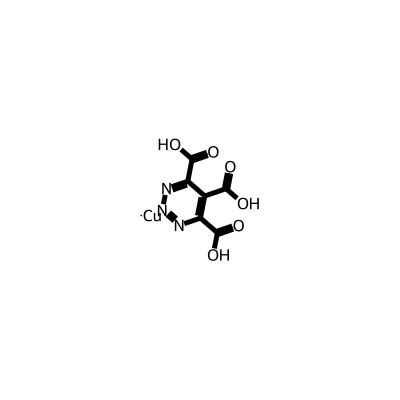 O=C(O)c1nnnc(C(=O)O)c1C(=O)O.[Cu]